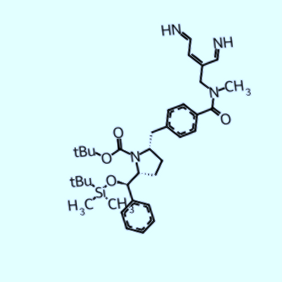 CN(C/C(C=N)=C/C=N)C(=O)c1ccc(C[C@@H]2CC[C@H]([C@H](O[Si](C)(C)C(C)(C)C)c3ccccc3)N2C(=O)OC(C)(C)C)cc1